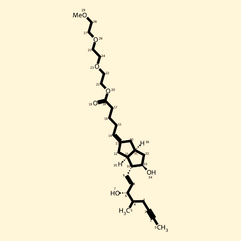 CC#CCC(C)[C@H](O)/C=C/[C@@H]1[C@H]2C/C(=C/CCCC(=O)OCCOCCOCCOC)C[C@H]2C[C@H]1O